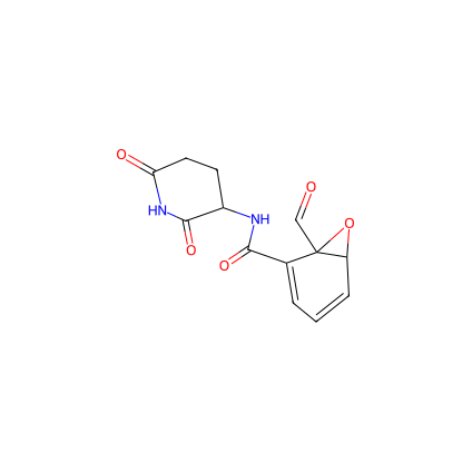 O=CC12OC1C=CC=C2C(=O)NC1CCC(=O)NC1=O